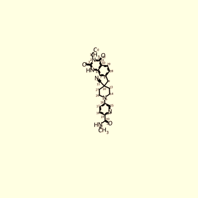 CCn1c(=O)[nH]c2cc(CC3(C#N)CCN(c4ccc(C(=O)NC)nc4)CC3)ccc2c1=O